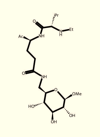 CCN[C@H](C(=O)N[C@@H](CCC(=O)NC[C@H]1O[C@@H](OC)[C@H](O)[C@@H](O)[C@@H]1O)C(C)=O)C(C)C